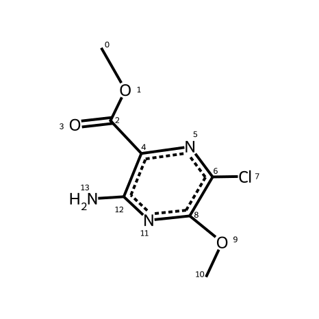 COC(=O)c1nc(Cl)c(OC)nc1N